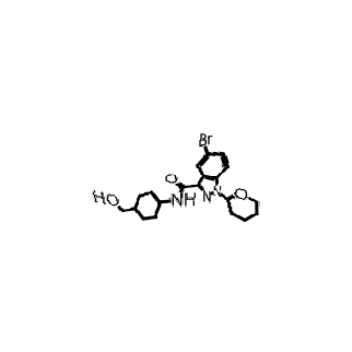 O=C(NC1CCC(CO)CC1)c1nn(C2CCCCO2)c2ccc(Br)cc12